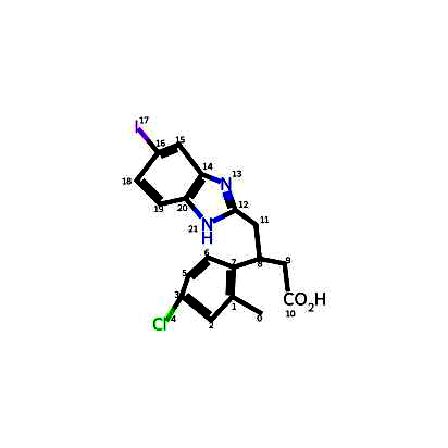 Cc1cc(Cl)ccc1C(CC(=O)O)Cc1nc2cc(I)ccc2[nH]1